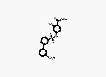 COC(=O)c1ccc(NS(=O)(=O)c2cccc(-c3cccc(C(=O)O)c3)c2)cc1O